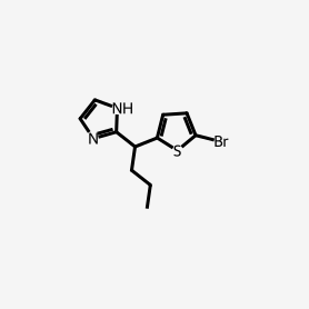 CCCC(c1ncc[nH]1)c1ccc(Br)s1